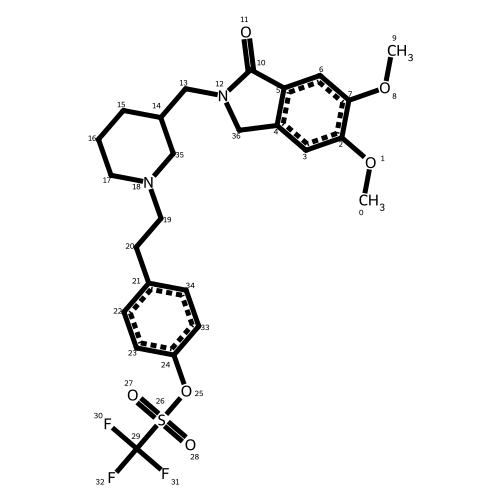 COc1cc2c(cc1OC)C(=O)N(CC1CCCN(CCc3ccc(OS(=O)(=O)C(F)(F)F)cc3)C1)C2